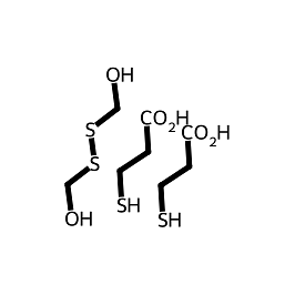 O=C(O)CCS.O=C(O)CCS.OCSSCO